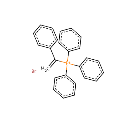 C=C(c1ccccc1)[P+](c1ccccc1)(c1ccccc1)c1ccccc1.[Br-]